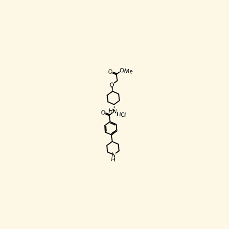 COC(=O)CO[C@H]1CC[C@H](NC(=O)c2ccc(C3CCNCC3)cc2)CC1.Cl